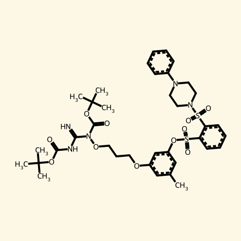 Cc1cc(OCCCON(C(=N)NC(=O)OC(C)(C)C)C(=O)OC(C)(C)C)cc(OS(=O)(=O)c2ccccc2S(=O)(=O)N2CCN(c3ccccc3)CC2)c1